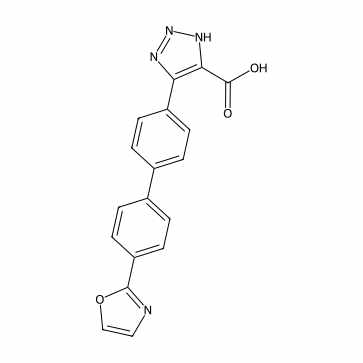 O=C(O)c1[nH]nnc1-c1ccc(-c2ccc(-c3ncco3)cc2)cc1